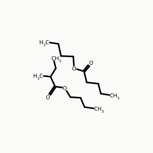 CCCCOC(=O)C(C)CC.CCCCOC(=O)CCCC